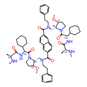 CN[C@@H](C)C(=O)N[C@H](C(=O)N1CC[C@H](OC)[C@H]1CN(CCc1ccccc1)C(=O)c1ccc2cc(C(=O)N(CCc3ccccc3)C[C@@H]3[C@@H](OC)CCN3C(=O)[C@@H](NC(=O)[C@H](C)NC)C3CCCCC3)ccc2c1)C1CCCCC1